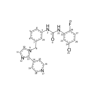 O=C(Nc1cccc(Cn2ccnc2-c2ccncc2)c1)Nc1cc(Cl)ccc1F